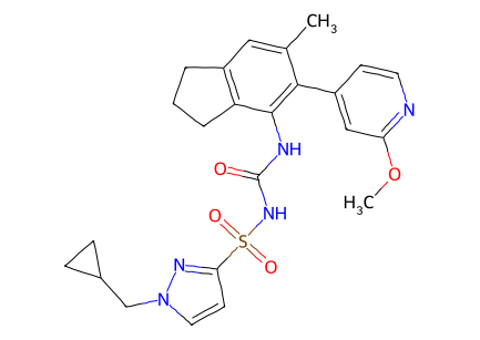 COc1cc(-c2c(C)cc3c(c2NC(=O)NS(=O)(=O)c2ccn(CC4CC4)n2)CCC3)ccn1